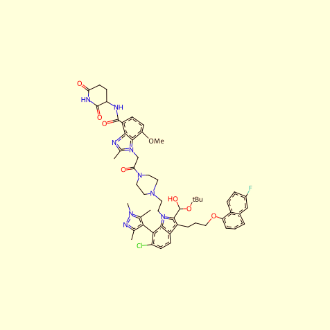 COc1ccc(C(=O)NC2CCC(=O)NC2=O)c2nc(C)n(CC(=O)N3CCN(CCn4c(C(O)OC(C)(C)C)c(CCCOc5cccc6cc(F)ccc56)c5ccc(Cl)c(-c6c(C)nn(C)c6C)c54)CC3)c12